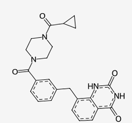 O=C(c1cccc(Cc2cccc3c(=O)[nH]c(=O)[nH]c23)c1)N1CCN(C(=O)C2CC2)CC1